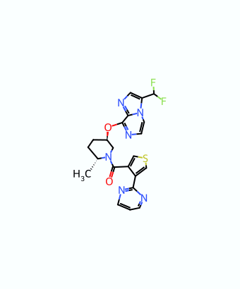 C[C@@H]1CC[C@@H](Oc2nccn3c(C(F)F)cnc23)CN1C(=O)c1cscc1-c1ncccn1